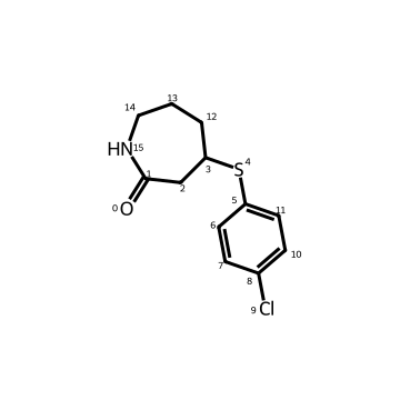 O=C1CC(Sc2ccc(Cl)cc2)CCCN1